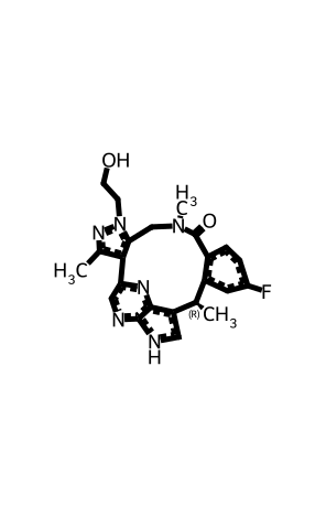 Cc1nn(CCO)c2c1-c1cnc3[nH]cc(c3n1)[C@H](C)c1cc(F)ccc1C(=O)N(C)C2